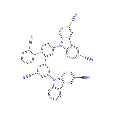 N#Cc1cc(-c2cc(-n3c4ccc(C#N)cc4c4cc(C#N)ccc43)ccc2-c2ccccc2C#N)cc(-n2c3ccccc3c3cc(C#N)ccc32)c1